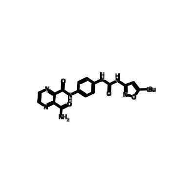 CC(C)(C)c1cc(NC(=O)Nc2ccc(NC(=O)c3nccnc3C(N)=O)cc2)no1